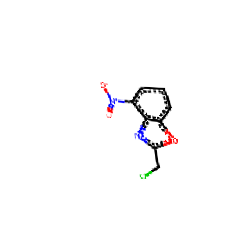 O=[N+]([O-])c1cccc2oc(CCl)nc12